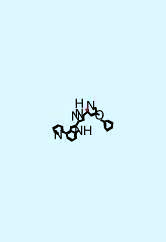 c1ccc(COc2cncc(-c3cc(-c4cc5c(-c6ccccn6)cccc5[nH]4)n[nH]3)c2)cc1